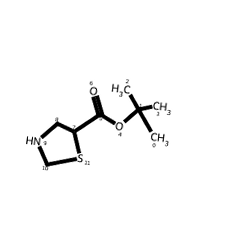 CC(C)(C)OC(=O)C1CNCS1